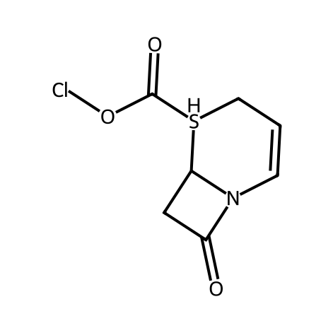 O=C1CC2N1C=CC[SH]2C(=O)OCl